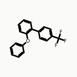 FC(F)(F)c1ccc(-c2[c]cccc2Oc2ccccc2)cc1